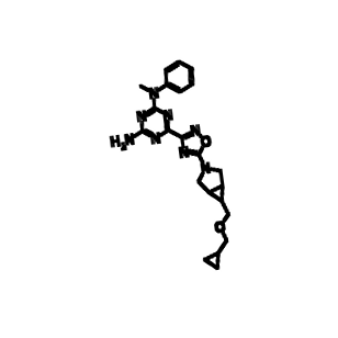 CN(c1ccccc1)c1nc(N)nc(-c2noc(N3CC4C(COCC5CC5)C4C3)n2)n1